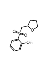 O=S(=O)(CC1CCCO1)c1ccccc1O